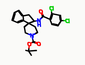 CC(C)(C)OC(=O)N1CCC2(CC1)c1ccccc1CC2NC(=O)c1ccc(Cl)cc1Cl